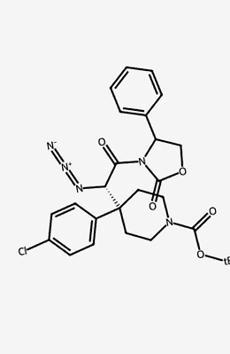 CC(C)(C)OC(=O)N1CCC(c2ccc(Cl)cc2)([C@H](N=[N+]=[N-])C(=O)N2C(=O)OCC2c2ccccc2)CC1